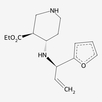 C=C[C@@H](N[C@H]1CCNC[C@@H]1C(=O)OCC)c1ccco1